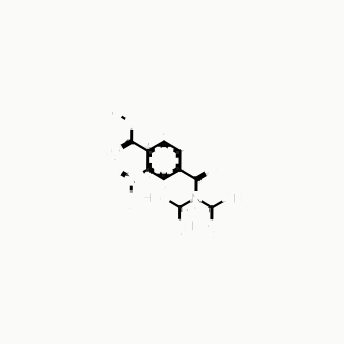 COC(=O)c1ccc(C(=O)N(C(C)C)C(C)C)cc1[N+](=O)[O-]